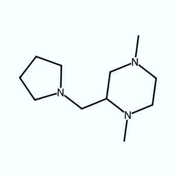 CN1CCN(C)C(CN2CCCC2)C1